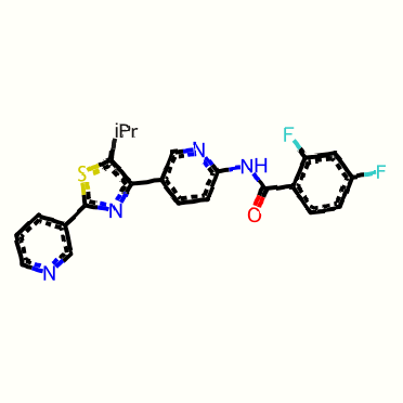 CC(C)c1sc(-c2cccnc2)nc1-c1ccc(NC(=O)c2ccc(F)cc2F)nc1